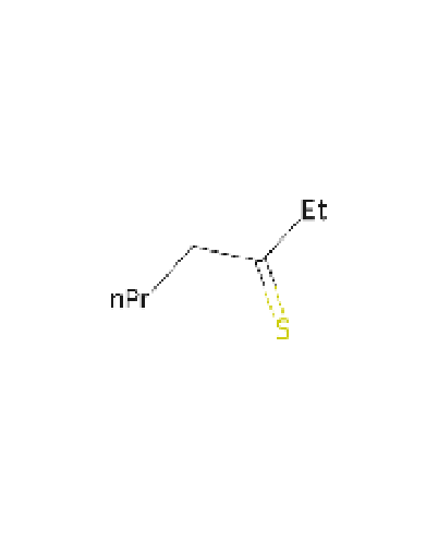 [CH2]CC(=S)CCCC